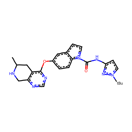 CC1Cc2c(ncnc2Oc2ccc3c(ccn3C(=O)Nc3ccn(C(C)(C)C)n3)c2)CN1